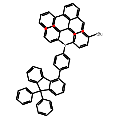 CC(C)(C)c1ccc(N(c2ccc(-c3cccc4c3-c3ccccc3C4(c3ccccc3)c3ccccc3)cc2)c2ccccc2-c2cccc3cccc(-c4ccccc4)c23)cc1